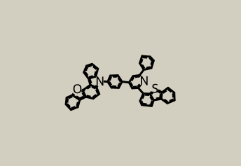 c1ccc(-c2cc(-c3ccc(-n4c5ccccc5c5c6oc7ccccc7c6ccc54)cc3)cc(-c3cccc4c3sc3ccccc34)n2)cc1